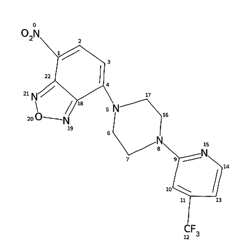 O=[N+]([O-])c1ccc(N2CCN(c3cc(C(F)(F)F)ccn3)CC2)c2nonc12